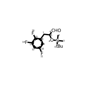 CC(C)(C)[Si](C)(C)OC(C=O)Cc1cc(F)cc(F)c1F